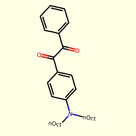 CCCCCCCCN(CCCCCCCC)c1ccc(C(=O)C(=O)c2ccccc2)cc1